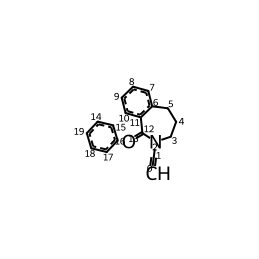 C#CN1CCCc2ccccc2C1=O.c1ccccc1